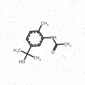 CC(=O)Nc1cc(C(C)(C)O)ccc1C